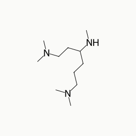 CNC(CCCN(C)C)CCN(C)C